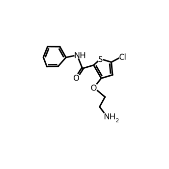 NCCOc1cc(Cl)sc1C(=O)Nc1ccccc1